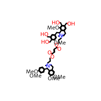 COc1ccc(C2c3cc(OC)c(OC)cc3CC[N+]2(C)CCCOC(=O)/C=C/C(=O)OCCC[N+]2(C)CCc3cc(CO)c(CO)c(OC)c3C2Cc2cc(CO)c(CO)c(OC)c2)cc1OC